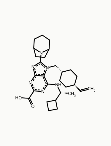 C=C[C@H]1CC[C@H](Cn2c(N3C4CCCC3CC4)nc3nc(C(=O)O)nc(N[C@H](C)C4CCC4)c32)CC1